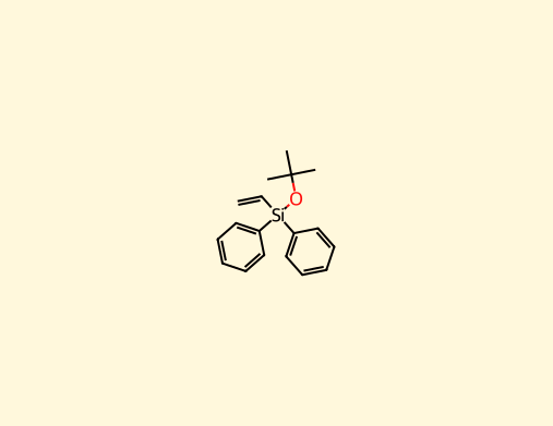 C=C[Si](OC(C)(C)C)(c1ccccc1)c1ccccc1